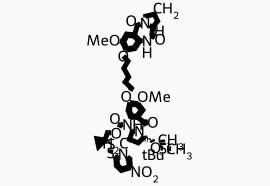 C=C1C[C@@H](CO[Si](C)(C)C(C)(C)C)N(C(=O)c2cc(OC)c(OCCCCCOc3cc4c(cc3OC)C(=O)N3CC(=C)C[C@H]3C(=O)N4)cc2NC(=O)OCC2(SSc3ccc([N+](=O)[O-])cn3)CC2)C1